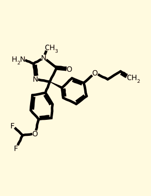 C=CCOc1cccc([C@@]2(c3ccc(OC(F)F)cc3)N=C(N)N(C)C2=O)c1